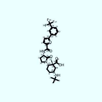 CC(C)(C)N[C@@H]1CC[C@H](N2CC[C@H](NC(=O)c3ccc(-c4cccc(C(F)(F)F)c4)o3)C2=O)[C@](C)(C(=O)O)C1